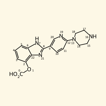 O=C(O)Oc1cccc2[nH]c(-c3ccc(N4CCNCC4)nc3)nc12